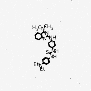 CCN(CC)c1ccc(NC(=S)NC2CCC(Nc3nc4c(c(N(C)C)n3)CCCC4)CC2)cc1